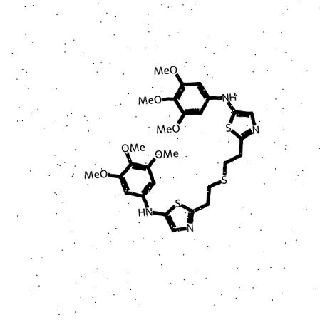 COc1cc(Nc2cnc(CCSCCc3ncc(Nc4cc(OC)c(OC)c(OC)c4)s3)s2)cc(OC)c1OC